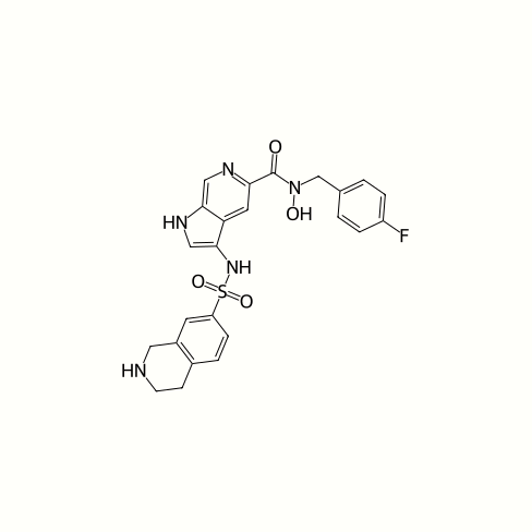 O=C(c1cc2c(NS(=O)(=O)c3ccc4c(c3)CNCC4)c[nH]c2cn1)N(O)Cc1ccc(F)cc1